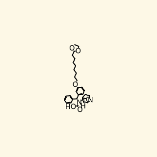 O=C(O)N(C(c1ccccc1)c1cccc(OCCCCCCCCC2OCCO2)c1)[C@H]1CN2CCC1CC2